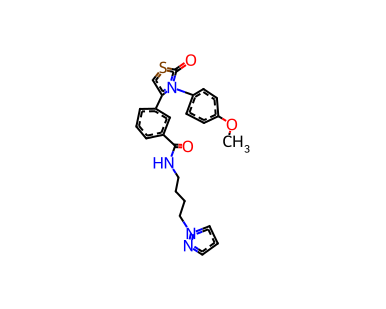 COc1ccc(-n2c(-c3cccc(C(=O)NCCCCn4cccn4)c3)csc2=O)cc1